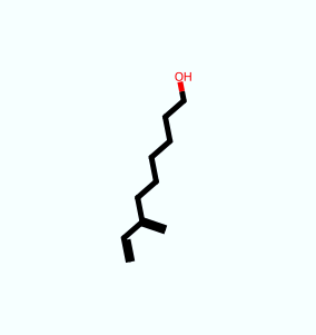 C=CC(=C)CCCCCCO